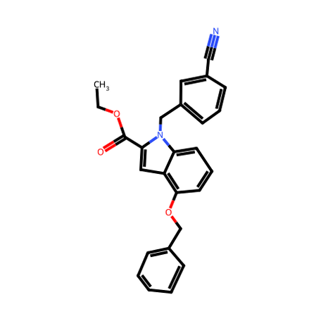 CCOC(=O)c1cc2c(OCc3ccccc3)cccc2n1Cc1cccc(C#N)c1